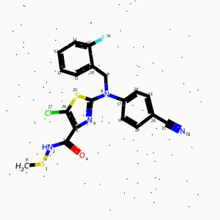 CSNC(=O)c1nc(N(Cc2ccccc2F)c2ccc(C#N)cc2)sc1Cl